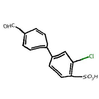 O=Cc1ccc(-c2ccc(S(=O)(=O)O)c(Cl)c2)cc1